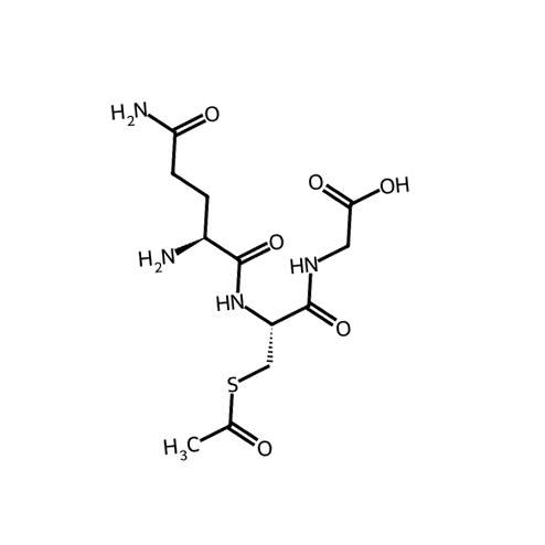 CC(=O)SC[C@H](NC(=O)[C@@H](N)CCC(N)=O)C(=O)NCC(=O)O